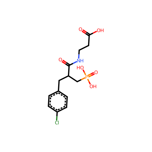 O=C(O)CCNC(=O)C(Cc1ccc(Cl)cc1)CP(=O)(O)O